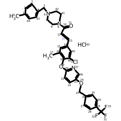 Cc1ccc(CN2CCN(C(=O)/C=C/c3cc(C)c(Oc4ccc(OCc5ccc(C(F)(F)F)cc5)cn4)c(Cl)c3)CC2)cc1.Cl